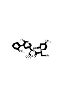 CCc1ncc([C@H](CC(=O)O)NC(=O)C(CC(C)C)n2ccc(C)cc2=O)cc1-c1ccccc1C